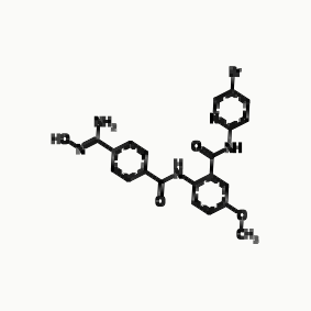 COc1ccc(NC(=O)c2ccc(/C(N)=N/O)cc2)c(C(=O)Nc2ccc(Br)cn2)c1